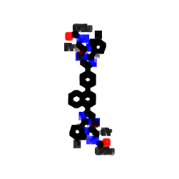 COC(=O)N[C@H](C(=O)N1C[C@@H]2CC[C@@]1(c1nc(-c3ccc(-c4ccc(-c5c[nH]c([C@@]67CC[C@@H](CN6C(=O)[C@@H](NC(=O)OC)C(C)C)C7)n5)c5c4CCCC5)cc3)c[nH]1)C2)C(C)C